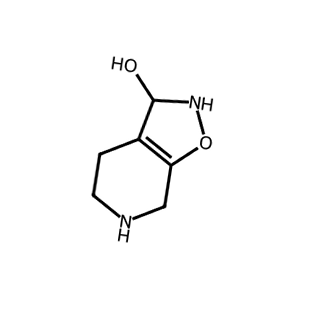 OC1NOC2=C1CCNC2